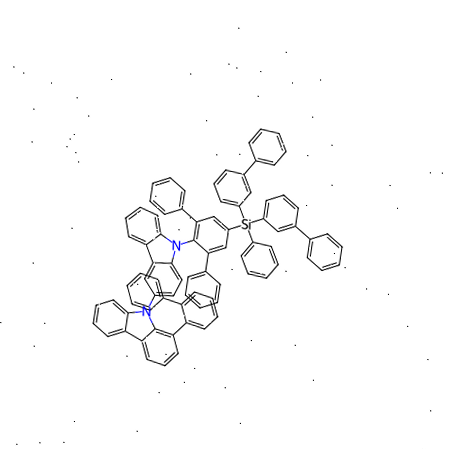 c1ccc(-c2cccc([Si](c3ccccc3)(c3cccc(-c4ccccc4)c3)c3cc(-c4ccccc4)c(-n4c5ccccc5c5cc(-n6c7ccccc7c7cccc(-c8ccccc8-c8ccccc8)c76)ccc54)c(-c4ccccc4)c3)c2)cc1